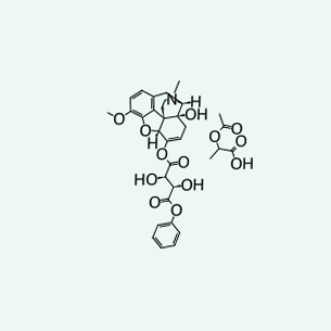 CC(=O)OC(C)C(=O)O.COc1ccc2c3c1O[C@H]1C(OC(=O)[C@H](O)[C@@H](O)C(=O)Oc4ccccc4)=CC[C@@]4(O)[C@@H](C2)N(C)CC[C@]314